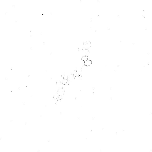 O=C1NC(C2CCC(C(F)(F)F)CC2)=NC12CCN(S(=O)(=O)CCc1cccc3c1ccn3CC(O)CO)CC2